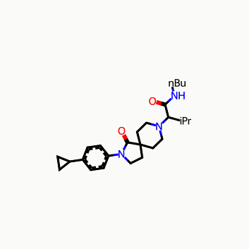 CCCCNC(=O)C(C(C)C)N1CCC2(CCN(c3ccc(C4CC4)cc3)C2=O)CC1